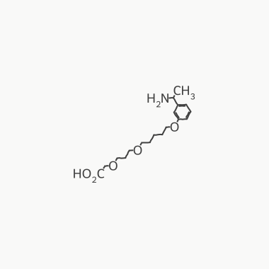 CC(N)c1cccc(OCCCCCOCCCOCC(=O)O)c1